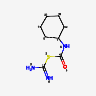 N=C(N)SC(=O)NC1CCCCC1